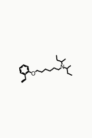 C=Cc1ccccc1OCCCCCCN(C(C)CC)C(C)CC